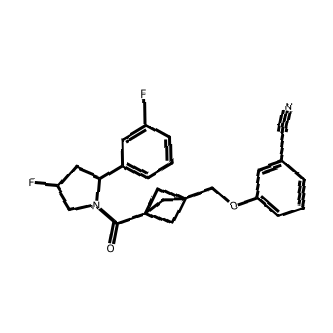 N#Cc1cccc(OCC23CC(C(=O)N4CC(F)CC4c4cccc(F)c4)(C2)C3)c1